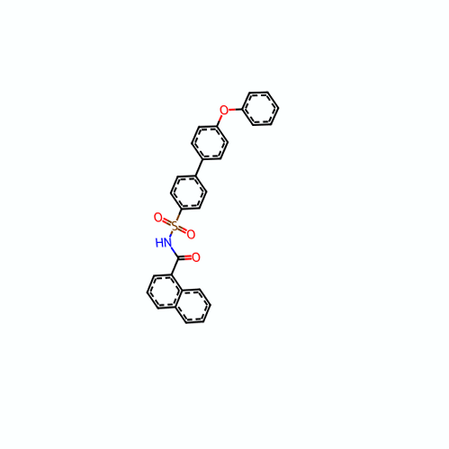 O=C(NS(=O)(=O)c1ccc(-c2ccc(Oc3ccccc3)cc2)cc1)c1cccc2ccccc12